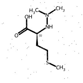 CSCC[C@H](NN(C)C)C(=O)O